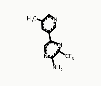 Cc1cncc(-c2cnc(N)c(C(F)(F)F)n2)c1